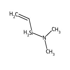 C=C[SiH2]N(C)C